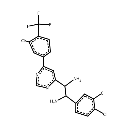 NC(c1ccc(Cl)c(Cl)c1)C(N)c1cc(-c2ccc(C(F)(F)F)c(Cl)c2)ncn1